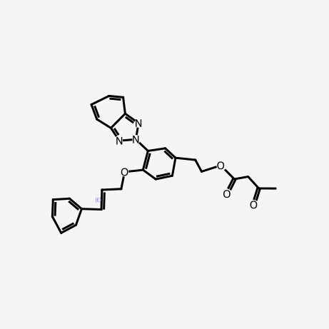 CC(=O)CC(=O)OCCc1ccc(OC/C=C/c2ccccc2)c(-n2nc3ccccc3n2)c1